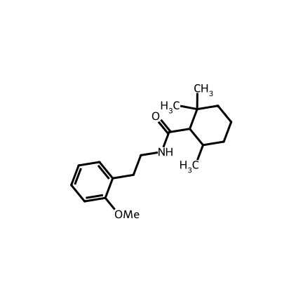 COc1ccccc1CCNC(=O)C1C(C)CCCC1(C)C